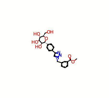 COC(=O)c1cccc(Cn2cc(-c3ccc([C@H]4O[C@H](CO)[C@@H](O)[C@H](O)[C@@H]4O)cc3)nn2)c1